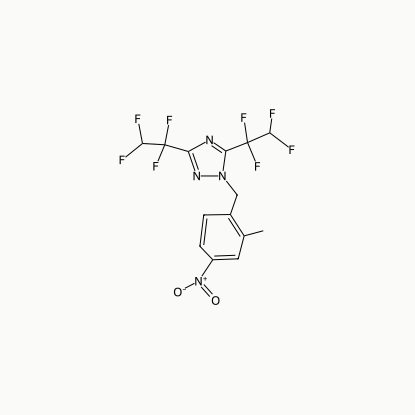 Cc1cc([N+](=O)[O-])ccc1Cn1nc(C(F)(F)C(F)F)nc1C(F)(F)C(F)F